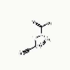 C#CCOOC(=O)O.C=C